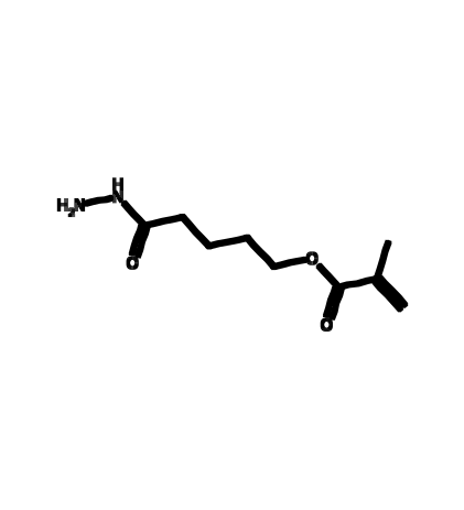 C=C(C)C(=O)OCCCCC(=O)NN